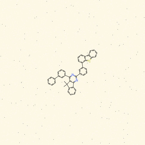 CC1(C)c2ccccc2-c2nc(-c3cccc(-c4cccc5c4sc4ccccc45)c3)nc(-c3cccc(-c4ccccc4)c3)c21